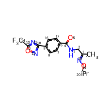 CC(CNC(=O)c1ccc(-c2noc(C(F)(F)F)n2)cc1)=NOC(C)C